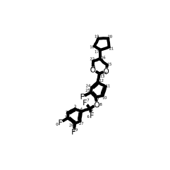 Fc1ccc(C(F)(F)Oc2ccc(C3OCC(C4CCCC4)CO3)cc2F)cc1F